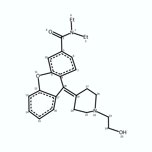 CCN(CC)C(=O)c1ccc2c(c1)Oc1ccccc1C2=C1CCN(CCO)CC1